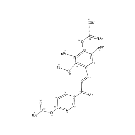 CCCc1cc(C=CC(=O)c2ccc(OC(=O)C(C)(C)C)cc2)c(OCC)c(CCC)c1OC(=O)C(C)(C)C